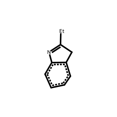 CCC1=Nc2ccccc2C1